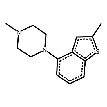 Cc1cc2c(N3CCN(C)CC3)cccc2s1